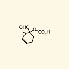 O=CC1(OC(=O)O)CCC=CO1